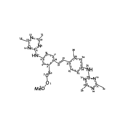 COOOSc1cc(Nc2nc(C)nc(C)n2)ccc1/C=C/c1ccc(Nc2nc(C)nc(C)n2)cc1C